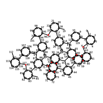 Cc1cccc(C)c1-c1cccc(N2c3cc(-c4c(C)cccc4C)ccc3B3c4cc5c(cc4C(c4c(-c6ccccc6)cccc4-c4ccccc4)c4cc(-c6c(C)cccc6C)cc2c43)N(c2ccccc2)c2cc(-c3c(C)cccc3C)cc3c2B5c2ccc(-c4c(C)cccc4C)cc2N3c2cccc(-c3c(C)cccc3C)c2)c1